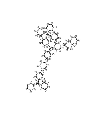 c1ccc(-n2c3ccccc3c3cc(-c4ccc(-c5ccc(N(c6ccc(-c7ccc8ccccc8c7)cc6)c6ccc7c(c6)C(c6ccccc6)(c6ccccc6)c6ccccc6-7)cc5)cc4)ccc32)cc1